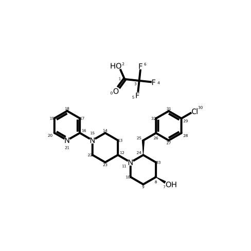 O=C(O)C(F)(F)F.O[C@H]1CCN(C2CCN(c3ccccn3)CC2)[C@@H](Cc2ccc(Cl)cc2)C1